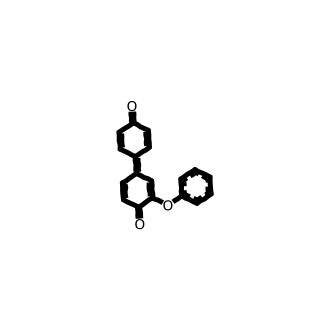 O=C1C=CC(=C2C=CC(=O)C(Oc3ccccc3)=C2)C=C1